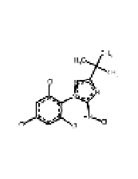 CNc1nc(C(C)(C)C)nn1-c1c(Cl)cc(Cl)cc1Cl